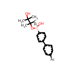 CC(=O)c1ccc(-c2ccc(B(O)OC(C)(C)C(C)(C)O)cc2)cc1